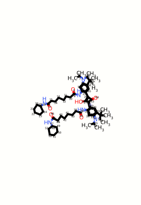 CC(C)N1c2cc(NC(=O)CCCCCCC(=O)NC3CCCCC3)c(C3=C(O)/C(=c4/cc5c(cc4NC(=O)CCCCCCC(=O)NC4CCCCC4)=[N+](C(C)C)C(C)C5(C)C)C3=O)cc2C(C)(C)C1C